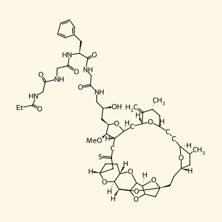 C=C1[C@H](C)C[C@@H]2CC[C@@H]3O[C@@H](CC[C@@]45CC6OC7C(O[C@H]8CC[C@H](CC(=S)C[C@@H]9[C@@H](OC)[C@@H](C[C@H](O)CNC(=O)CNC(=O)[C@H](Cc%10ccccc%10)NC(=O)CNC(=O)CNC(=O)CC)O[C@H]9C[C@H]1O2)O[C@@H]8[C@@H]7O4)[C@H]6O5)CC3C